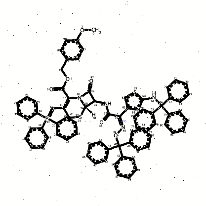 COc1ccc(COC(=O)C2=C(C=P(c3ccccc3)(c3ccccc3)c3ccccc3)CS[C@H]3C(NC(=O)/C(=N\OC(c4ccccc4)(c4ccccc4)c4ccccc4)c4csc(NC(c5ccccc5)(c5ccccc5)c5ccccc5)n4)C(=O)N23)cc1